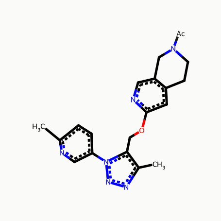 CC(=O)N1CCc2cc(OCc3c(C)nnn3-c3ccc(C)nc3)ncc2C1